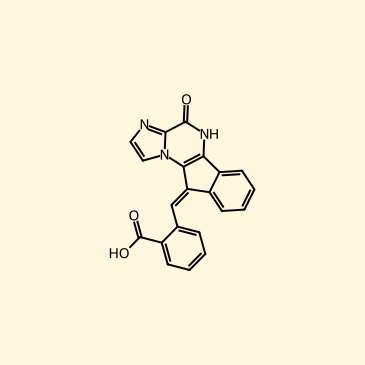 O=C(O)c1ccccc1C=c1c2ccccc2c2[nH]c(=O)c3nccn3c12